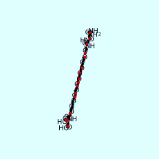 NC(=O)NCC(=O)NCC(=O)NCCOCCOCCOCCOCCOCCOCCOCCOCCOCCOCCOCCOCCC(=O)N[C@@H](CCC(=O)O)C(=O)O